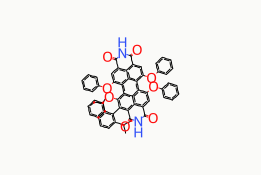 CC(C)c1cccc(C(C)C)c1-c1c2c3c(cc(Oc4ccccc4)c4c5c(Oc6ccccc6)cc6c7c(cc(Oc8ccccc8)c(c(c1Oc1ccccc1)c34)c75)C(=O)NC6=O)C(=O)NC2=O